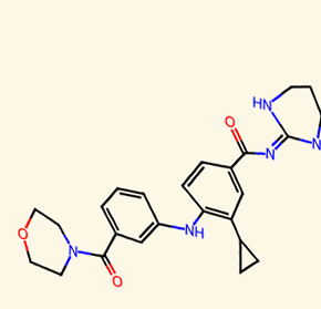 O=C(N=C1NCCCN1)c1ccc(Nc2cccc(C(=O)N3CCOCC3)c2)c(C2CC2)c1